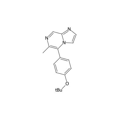 Cc1ncc2nccn2c1-c1ccc(OC(C)(C)C)cc1